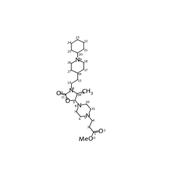 COC(=O)CCN1CCN(C2OC(=O)N(CCC3CCN(C4CCCCC4)CC3)C2C)CC1